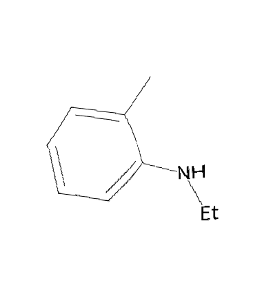 [CH2]CNc1ccccc1C